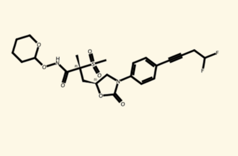 C[C@@](C[C@H]1CN(c2ccc(C#CCC(F)F)cc2)C(=O)O1)(C(=O)NOC1CCCCO1)S(C)(=O)=O